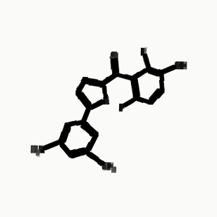 Cc1cc(N)cc(-c2ccc(C(=O)c3c(F)ccc(O)c3F)s2)c1